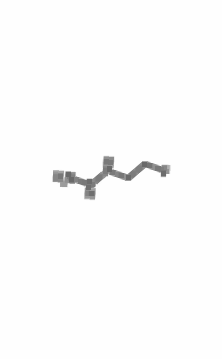 NPPCCF